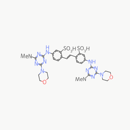 CNc1nc(Nc2ccc(/C=C/c3ccc(Nc4nc(NC)nc(N5CCOCC5)n4)cc3S(=O)(=O)O)c(S(=O)(=O)O)c2)nc(N2CCOCC2)n1